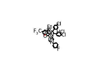 CCOc1cc(C(F)(F)F)ccc1C1(C(=O)N2CCN(c3ccc(F)cc3)CC2)NC(c2ccc(Cl)cc2)C(c2ccc(Cl)cc2)N1.Cl